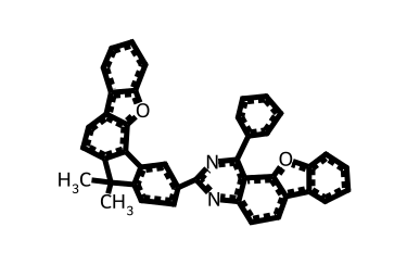 CC1(C)c2ccc(-c3nc(-c4ccccc4)c4c(ccc5c6ccccc6oc54)n3)cc2-c2c1ccc1c2oc2ccccc21